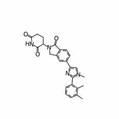 Cc1cccc(-c2nc(-c3ccc4c(c3)CN(C3CCC(=O)NC3=O)C4=O)cn2C)c1C